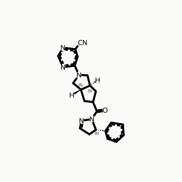 N#Cc1cc(N2C[C@H]3CC(C(=O)N4N=CC[C@H]4c4ccccc4)C[C@@H]3C2)ncn1